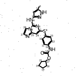 Cc1cc(Nc2nc(Sc3ccc(NC(=O)OC4CCCC4)cc3)cc3nccn23)n[nH]1